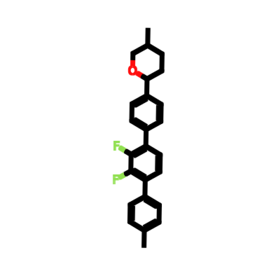 Cc1ccc(-c2ccc(-c3ccc(C4CCC(C)CO4)cc3)c(F)c2F)cc1